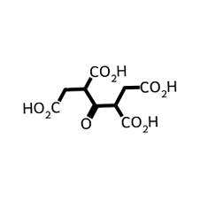 O=C(O)CC(C(=O)O)C(=O)C(CC(=O)O)C(=O)O